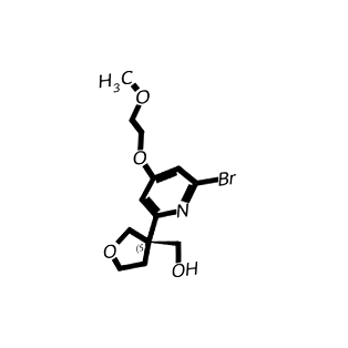 COCCOc1cc(Br)nc([C@]2(CO)CCOC2)c1